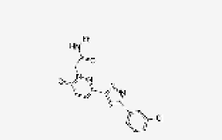 CCNC(=O)Cn1nc(-c2nnc(-c3cccc(Cl)c3)s2)ccc1=O